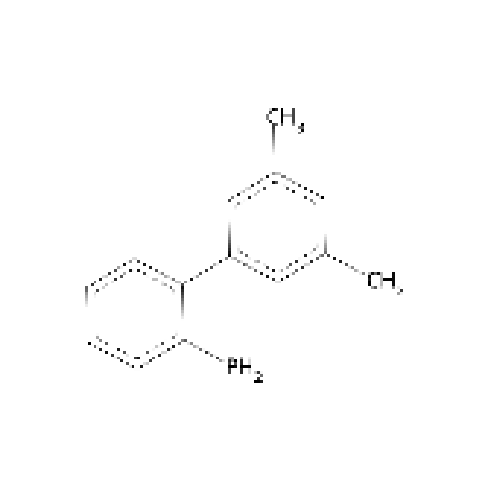 Cc1cc(C)cc(-c2ccccc2P)c1